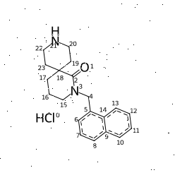 Cl.O=C1N(Cc2cccc3ccccc23)CCCC12CCNCC2